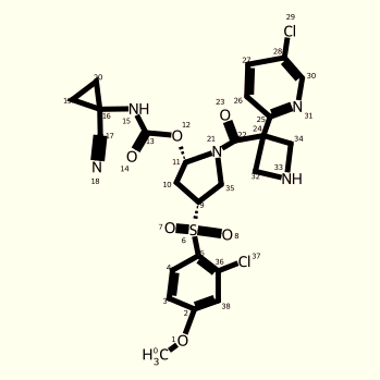 COc1ccc(S(=O)(=O)[C@@H]2C[C@H](OC(=O)NC3(C#N)CC3)N(C(=O)C3(c4ccc(Cl)cn4)CNC3)C2)c(Cl)c1